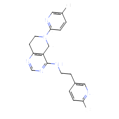 Cc1ccc(N2CCc3ncnc(NCCc4ccc(C(F)(F)F)nc4)c3C2)nc1